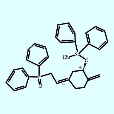 C=C1CC/C(=C/CP(=O)(c2ccccc2)c2ccccc2)C[C@H]1O[Si](c1ccccc1)(c1ccccc1)C(C)(C)C